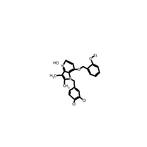 CCOc1ccccc1COc1ccnc2c(C)c(C)n(Cc3ccc(Cl)c(Cl)c3)c12.Cl